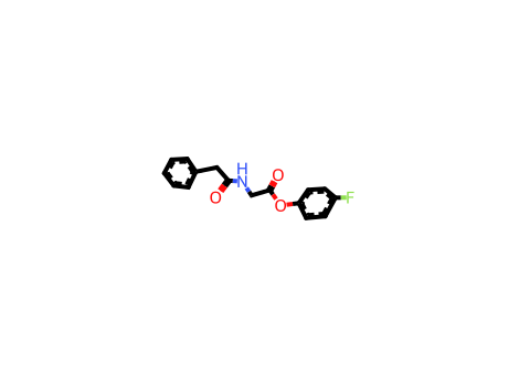 O=C(Cc1ccccc1)NCC(=O)Oc1ccc(F)cc1